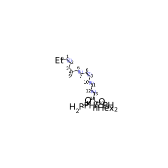 CC/C=C\CC(C)/C=C/C=C\C=C\C=C\C(OPP)C(CCCCCC)OP